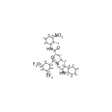 Cc1c(NC(=O)C=CC(Cc2c[nH]c3ccccc23)N(C)C(=O)c2cc(C(F)(F)F)cc(C(F)(F)F)c2)cccc1[N+](=O)[O-]